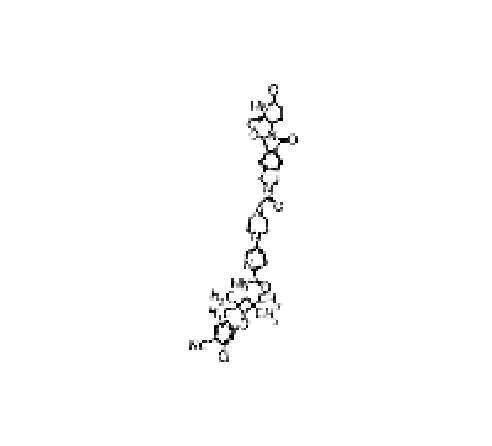 CC1(C)[C@H](NC(=O)c2ccc(N3CCN(CC(=O)N4Cc5cc6c(cc5C4)C(=O)N(C4CCC(=O)NC4=O)C6=O)CC3)cn2)C(C)(C)[C@H]1Oc1ccc(C#N)c(Cl)c1